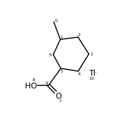 CC1CCCC(C(=O)O)C1.[Tl]